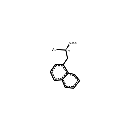 CN[C@@H](Cc1cccc2ccccc12)C(C)=O